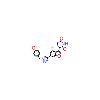 COc1ccc(Cn2cc(-c3cc(F)c4c(C5CCC(=O)NC5=O)coc4c3)cn2)cc1